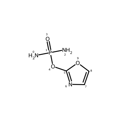 NP(N)(=O)Oc1ncco1